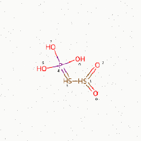 O=[SH](=O)[SH]=P(O)(O)O